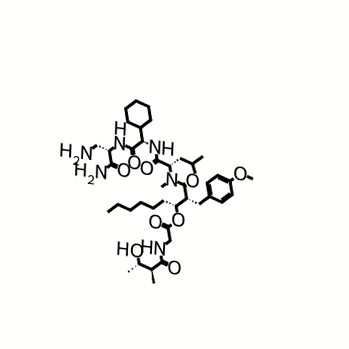 CCCCCC[C@@H](OC(=O)CNC(=O)[C@@H](C)[C@H](C)O)[C@@H](Cc1ccc(OC)cc1)C(=O)N(C)[C@@H](CC(C)C)C(=O)N[C@H](C(=O)N[C@@H](CN)C(N)=O)C1CCCCC1